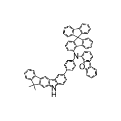 CC1(C)c2ccccc2-c2cc3c(cc21)[nH]c1ccc(-c2ccc(N(c4cccc5c4-c4ccccc4C54c5ccccc5-c5ccccc54)c4cccc5c4oc4ccccc45)cc2)cc13